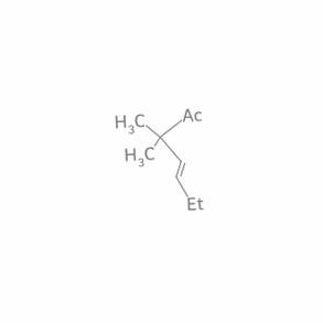 CCC=CC(C)(C)C(C)=O